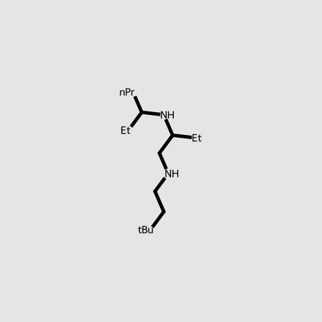 CCCC(CC)N[C](CC)CNCCC(C)(C)C